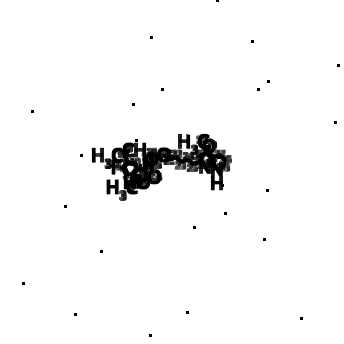 COc1cc(F)c(C(C)C)cc1C(C(=O)O)N1CC[C@@H](OCCCCCc2cc(OC)c3c(n2)NCCC3)C1